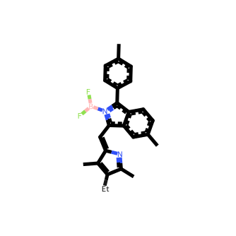 CCC1=C(C)/C(=C/c2c3cc(C)ccc3c(-c3ccc(C)cc3)n2B(F)F)N=C1C